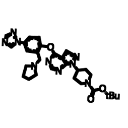 CC(C)(C)OC(=O)N1CCC(n2ncc3c(Oc4ccc(-n5cncn5)cc4CN4CCCC4)ncnc32)CC1